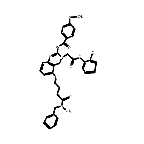 COc1ccc(C(=O)NC2=Nc3cccc(OCCCC(=O)N(C)Cc4ccccc4)c3CN2CC(=O)Nc2ccccc2Cl)cc1